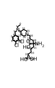 CCN(Cc1ccc(Cl)c(Cl)c1)C1CCN(CCCC(N)(CCCCB(O)O)C(=O)O)CC1